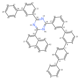 c1ccc(-c2ccc(-c3cccc(-c4cccc(-c5nc(-c6cccc(-c7ccccc7)c6)nc(-c6cccc7ccccc67)n5)c4)c3)cc2)cc1